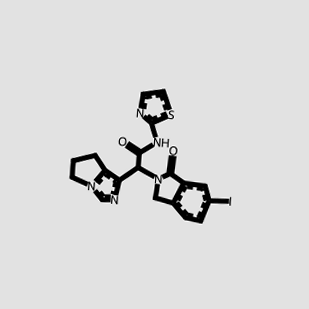 O=C(Nc1nccs1)C(c1ncn2c1CCC2)N1Cc2ccc(I)cc2C1=O